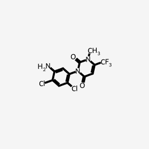 Cn1c(C(F)(F)F)cc(=O)n(-c2cc(N)c(Cl)cc2Cl)c1=O